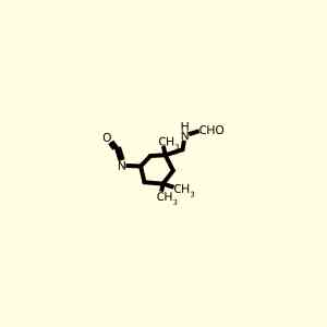 CC1(C)CC(N=C=O)CC(C)(CNC=O)C1